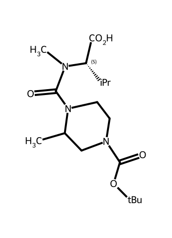 CC(C)[C@@H](C(=O)O)N(C)C(=O)N1CCN(C(=O)OC(C)(C)C)CC1C